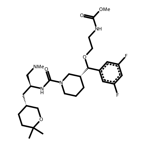 CNC[C@H](C[C@H]1CCC(C)(C)OC1)NC(=O)N1CCC[C@@H](C(OCCNC(=O)OC)c2cc(F)cc(F)c2)C1